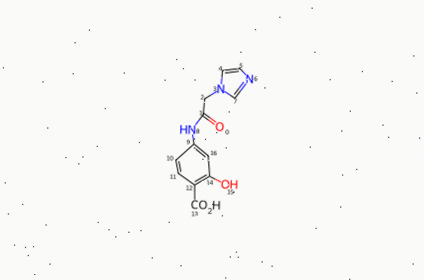 O=C(Cn1ccnc1)Nc1ccc(C(=O)O)c(O)c1